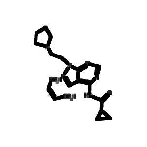 O=C(Nc1ncnc2c1cnn2CCN1CCCC1)C1CC1.O=C(O)/C=C\C(=O)O